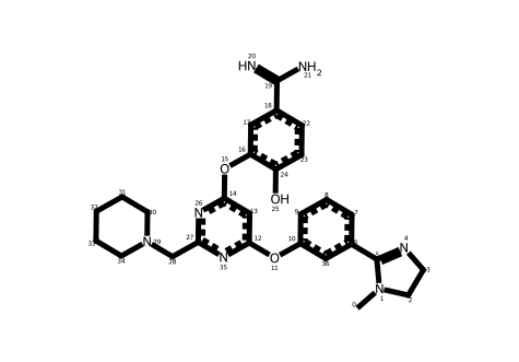 CN1CCN=C1c1cccc(Oc2cc(Oc3cc(C(=N)N)ccc3O)nc(CN3CCCCC3)n2)c1